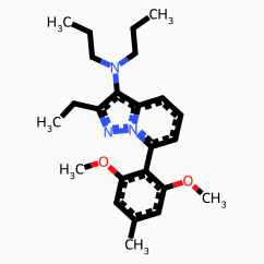 CCCN(CCC)c1c(CC)nn2c(-c3c(OC)cc(C)cc3OC)cccc12